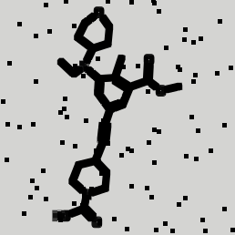 CCN(c1cc(C#CC2CCN(C(=O)O)CC2)cc(C(=O)OC)c1C)C1CCOCC1